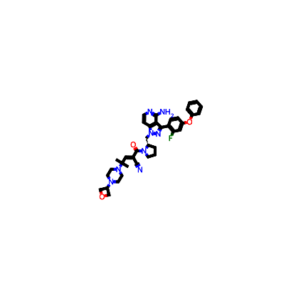 CC(C)(C=C(C#N)C(=O)N1CCC[C@H]1Cn1nc(-c2ccc(Oc3ccccc3)cc2F)c2c(N)nccc21)N1CCN(C2COC2)CC1